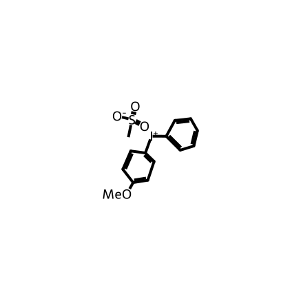 COc1ccc([I+]c2ccccc2)cc1.CS(=O)(=O)[O-]